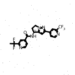 CC(F)(F)c1cc(C(=O)N[C@H]2CCn3nc(-c4ccnc(C(F)(F)F)c4)cc32)ccn1